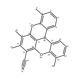 Cc1cccc2c1Oc1c(C)c(C)c(C#N)c3c1B2c1cccc(C)c1O3